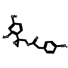 CC(=O)Oc1ccc(C2(COC(=O)Cc3ccc([N+](=O)[O-])cc3)CO2)c(OC(C)=O)c1